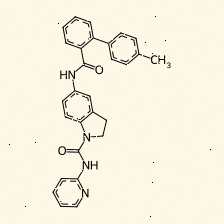 Cc1ccc(-c2ccccc2C(=O)Nc2ccc3c(c2)CCN3C(=O)Nc2ccccn2)cc1